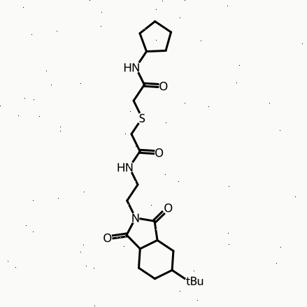 CC(C)(C)C1CCC2C(=O)N(CCNC(=O)CSCC(=O)NC3CCCC3)C(=O)C2C1